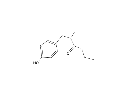 CCOC(=O)C(C)Cc1ccc(O)cc1